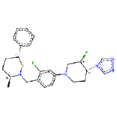 C[C@H]1CC[C@H](c2ccccc2)SN1Cc1ccc(N2CC[C@@H](n3cnnc3)[C@H](F)C2)cc1F